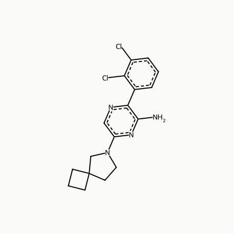 Nc1nc(N2CCC3(CCC3)C2)cnc1-c1cccc(Cl)c1Cl